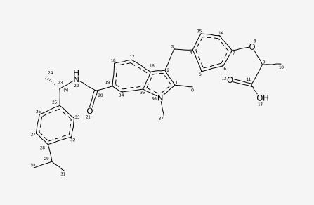 Cc1c(Cc2ccc(OC(C)C(=O)O)cc2)c2ccc(C(=O)N[C@@H](C)c3ccc(C(C)C)cc3)cc2n1C